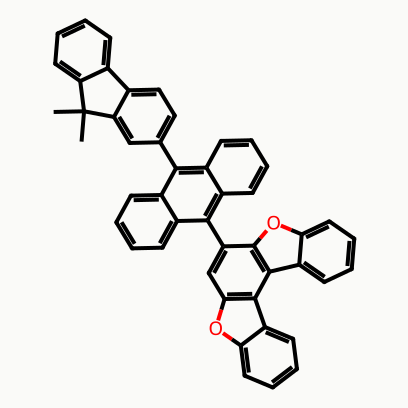 CC1(C)c2ccccc2-c2ccc(-c3c4ccccc4c(-c4cc5oc6ccccc6c5c5c4oc4ccccc45)c4ccccc34)cc21